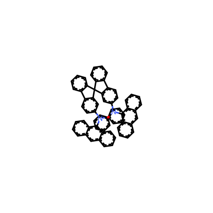 c1ccc(N(c2ccc3c(c2)C2(c4ccccc4-3)c3ccccc3-c3ccc(N(c4ccccc4)c4c5ccccc5cc5ccccc45)cc32)c2c3ccccc3cc3ccccc23)cc1